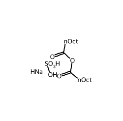 CCCCCCCCC(=O)OC(=O)CCCCCCCC.O=S(=O)(O)O.[NaH]